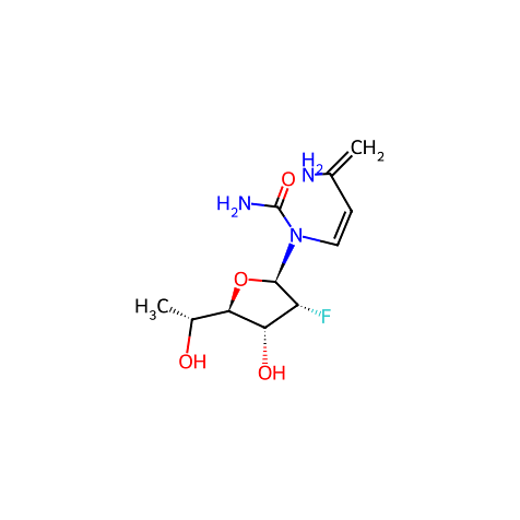 C=C(N)/C=C\N(C(N)=O)[C@@H]1O[C@H]([C@@H](C)O)[C@@H](O)[C@H]1F